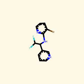 FC(F)C(Nc1ncccc1Br)c1cccnc1